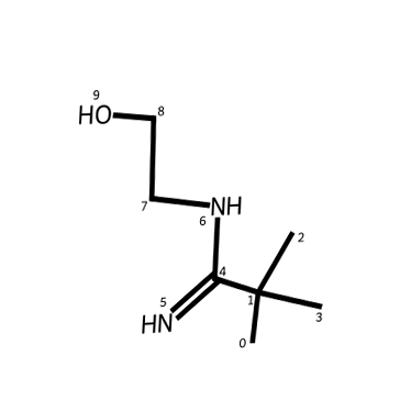 CC(C)(C)C(=N)NCCO